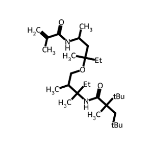 C=C(C)C(=O)NC(C)CC(C)(CC)OCC(C)C(C)(CC)NC(=O)C(C)(CC(C)(C)C)C(C)(C)C